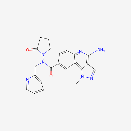 Cn1ncc2c(N)nc3ccc(C(=O)N(Cc4ccccn4)N4CCCC4=O)cc3c21